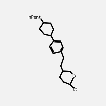 CCCCCC1CCC(c2ccc(CCC3CCC(CC)OC3)cc2)CC1